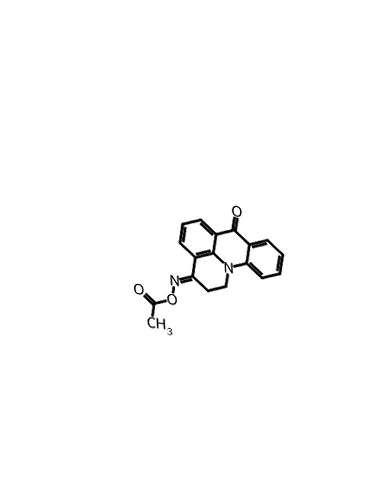 CC(=O)O/N=C1\CCn2c3ccccc3c(=O)c3cccc1c32